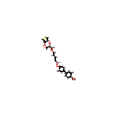 Brc1ccc(-c2ccc(OCCCCCOCC3COc4cscc4O3)cc2)cc1